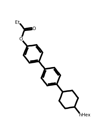 CCCCCCC1CCC(c2ccc(-c3ccc(OC(=O)CC)cc3)cc2)CC1